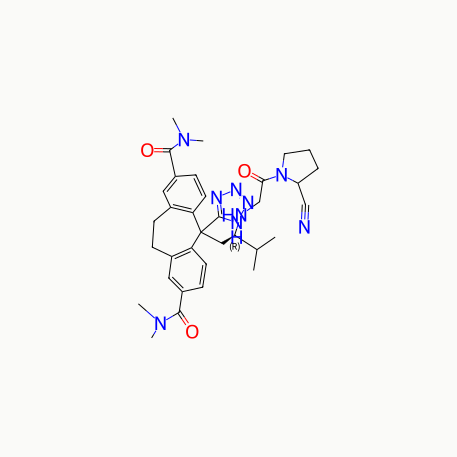 CC(C)[C@@H](CC1(c2nnn[nH]2)c2ccc(C(=O)N(C)C)cc2CCc2cc(C(=O)N(C)C)ccc21)NCC(=O)N1CCCC1C#N